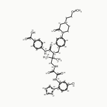 COCCN1CCN(c2ccc(C[C@H](C(=O)Nc3ccc(C(=O)O)cc3)C(C)(C)CNC(=O)C(=O)Nc3cc(Cl)ccc3-n3cnnn3)cc2)C(=O)C1